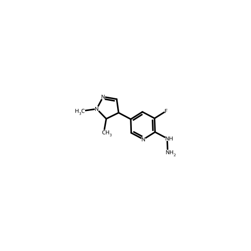 CC1C(c2cnc(NN)c(F)c2)C=NN1C